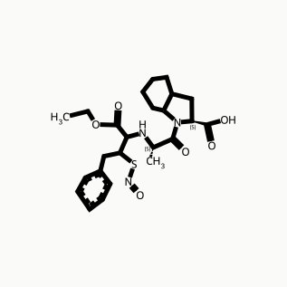 CCOC(=O)C(N[C@@H](C)C(=O)N1C2CCCCC2C[C@H]1C(=O)O)C(Cc1ccccc1)SN=O